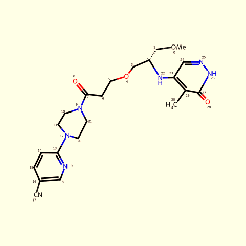 COC[C@@H](COCCC(=O)N1CCN(c2ccc(C#N)cn2)CC1)Nc1cn[nH]c(=O)c1C